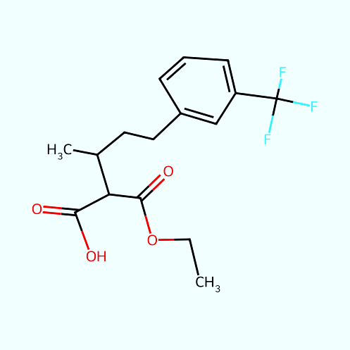 CCOC(=O)C(C(=O)O)C(C)CCc1cccc(C(F)(F)F)c1